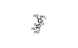 Nc1nc(=O)n([C@@H]2O[C@H](CO)[C@@H](O)[C@@H]2F)cc1CO